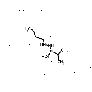 CCCCNNN(N)C(C)C